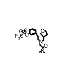 CN(C)C(=O)CN(CCc1cccc(OS(=O)(=O)C(F)(F)F)c1)CC1CCOC1